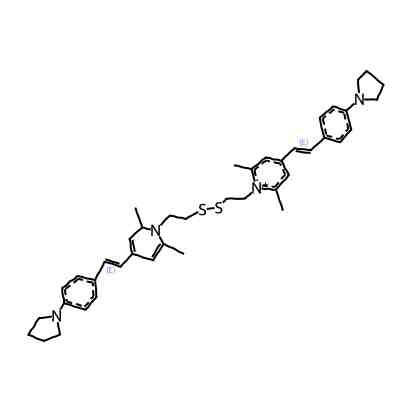 CC1=CC(/C=C/c2ccc(N3CCCC3)cc2)=CC(C)N1CCSSCC[n+]1c(C)cc(/C=C/c2ccc(N3CCCC3)cc2)cc1C